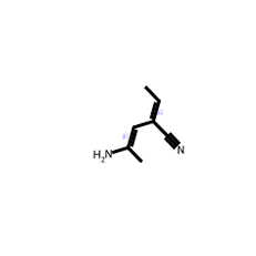 C/C=C(C#N)\C=C(/C)N